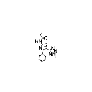 CCC(=O)Nc1nc(-c2ccccc2)c(-c2nnn(C)n2)s1